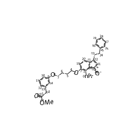 CCCc1c(OCCCCOc2cccc(CC(=O)OC)c2)ccc2c(CCc3ccccc3)c[s+]([O-])c12